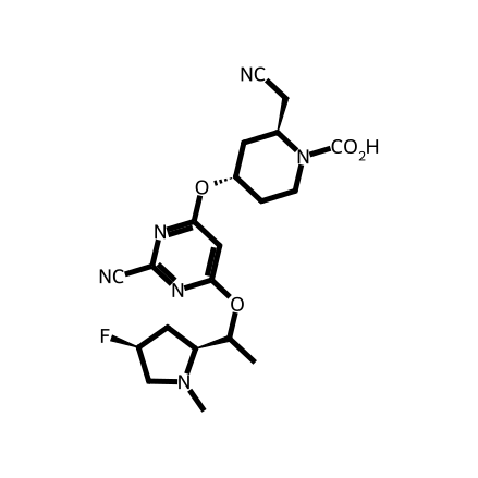 CC(Oc1cc(O[C@H]2CCN(C(=O)O)[C@H](CC#N)C2)nc(C#N)n1)[C@@H]1C[C@H](F)CN1C